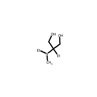 CCN(C)C(CC)(CO)CO